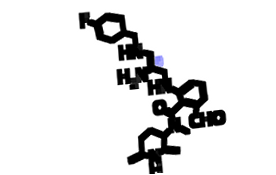 C=C1CCC(N(C)C(=O)c2c(C=O)cccc2NC/C(N)=C/NCC2C=CC(F)=CC2)C(=C)N1